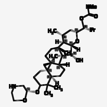 CNC(=O)O[C@H](C(C)C)[C@H]1C[C@@H](C)[C@H]2[C@H](O1)[C@H](O)[C@@]1(C)[C@@H]3CC[C@H]4C(C)(C)C(O[C@H]5CNCCO5)CC[C@@]45C[C@@]35CC[C@]21C